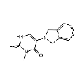 Cn1c(=O)[nH]cc(N2Cc3ccccc3C2)c1=O